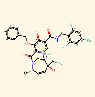 C[C@H]1C=C[C@@](O)(CF)[C@H]2CN1C(=O)c1c(OCc3ccccc3)c(=O)c(C(=O)NCc3c(F)cc(F)cc3F)cn12